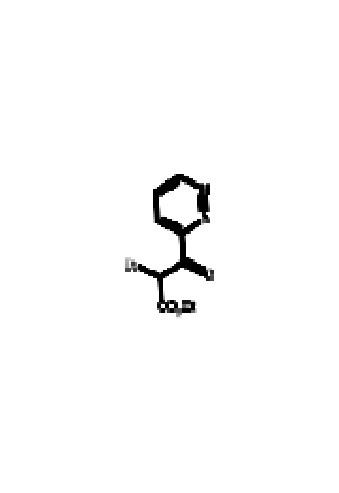 CCOC(=O)C(CC)C(=O)c1cccnn1